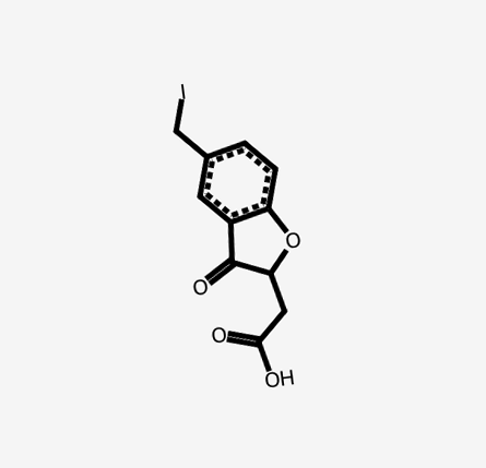 O=C(O)CC1Oc2ccc(CI)cc2C1=O